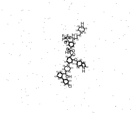 O=C(NS(=O)(=O)c1ccc(NCCCN2CCNCC2)c(S(=O)(=O)C(F)(F)F)c1)c1ccc(N2CCC(C(O)c3ccccc3-c3ccc(Cl)cc3)CC2)cc1Oc1cnc2[nH]ccc2c1